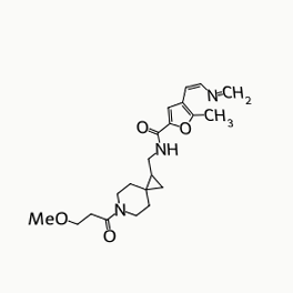 C=N/C=C\c1cc(C(=O)NCC2CC23CCN(C(=O)CCOC)CC3)oc1C